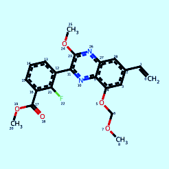 C=Cc1cc(OCOC)c2nc(-c3cccc(C(=O)OC)c3F)c(OC)nc2c1